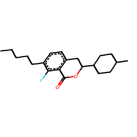 CCCCCc1ccc2c(c1F)C(=O)OC(C1CCC(C)CC1)C2